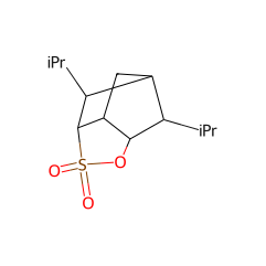 CC(C)C1C2CC3C1OS(=O)(=O)C3C2C(C)C